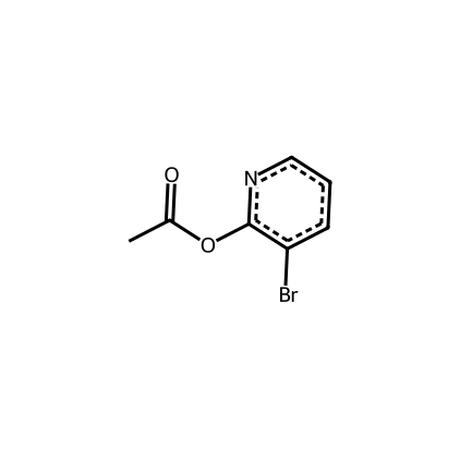 CC(=O)Oc1ncccc1Br